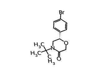 CC(C)(C)N1C[C@H](c2ccc(Br)cc2)OCC1=O